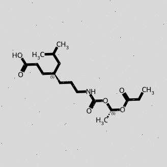 CCC(=O)O[C@H](C)OC(=O)NCCC[C@@H](CCC(=O)O)CC(C)C